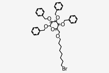 BrCCCCCCCCOC[C@H]1OC(OCc2ccccc2)[C@H](OCc2ccccc2)[C@@H](OCc2ccccc2)[C@@H]1OCc1ccccc1